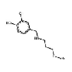 CCCCOCCCNCc1ccc(O)c(O)c1